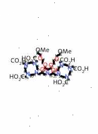 COCCOCCOCC(COCCOCCOC)N(CC(O)CN1CCN(CC(=O)O)CCN(CC(=O)O)CCN(CC(=O)O)CC1)CC(O)CN1CCN(CC(=O)O)CCN(CC(=O)O)CCN(CC(=O)O)CC1